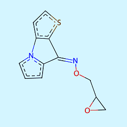 c1cc2n(c1)-c1ccsc1C2=NOCC1CO1